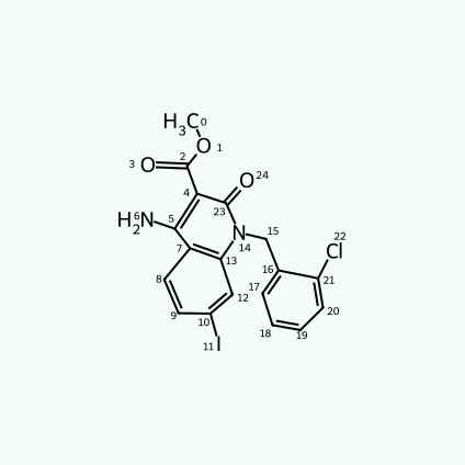 COC(=O)c1c(N)c2ccc(I)cc2n(Cc2ccccc2Cl)c1=O